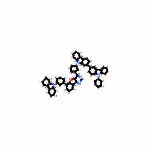 c1ccc(-n2c3ccccc3c3cc(-c4ccc5c6ccccc6n(-c6cccc(-c7ncnc8c7oc7c(-c9cccc(-n%10c%11ccccc%11c%11ccccc%11%10)c9)cccc78)c6)c5c4)ccc32)cc1